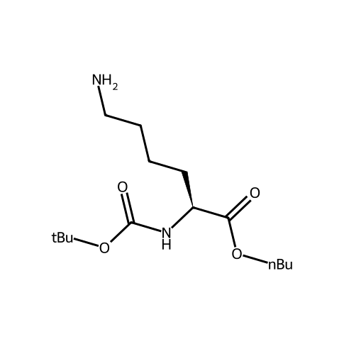 CCCCOC(=O)[C@H](CCCCN)NC(=O)OC(C)(C)C